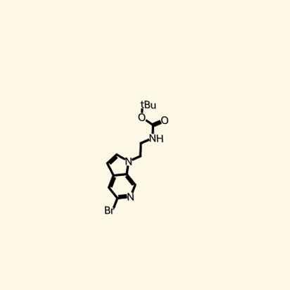 CC(C)(C)OC(=O)NCCn1ccc2cc(Br)ncc21